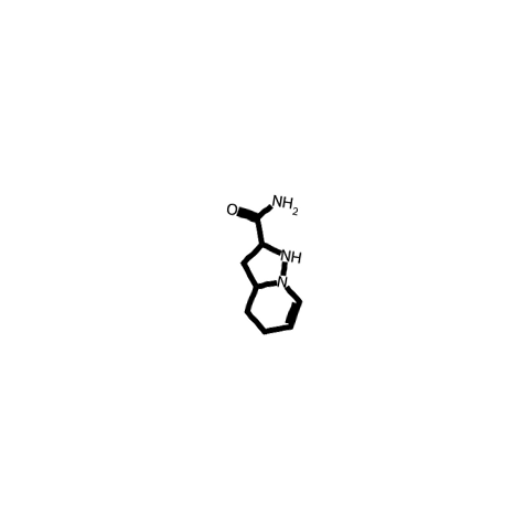 NC(=O)C1CC2CCC=CN2N1